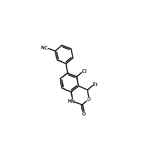 CCC1OC(=O)Nc2ccc(-c3cccc(C#N)c3)c(Cl)c21